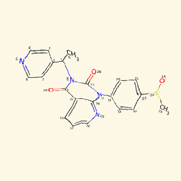 CC(c1ccncc1)n1c(=O)c2cccnc2n(-c2ccc([S+](C)[O-])cc2)c1=O